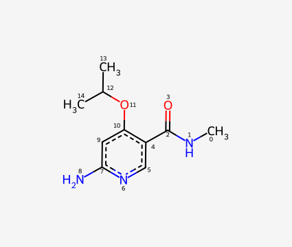 CNC(=O)c1cnc(N)cc1OC(C)C